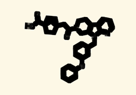 O=C(CC12CCC(C(=O)O)(CC1)C2)N1CCc2c(n(Cc3cccc(Oc4ccccc4)c3)c3ncccc23)C1